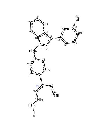 N=C/C(=C\NPI)c1ccc(Nc2nn(-c3cccc(Cl)n3)c3ccccc23)cc1